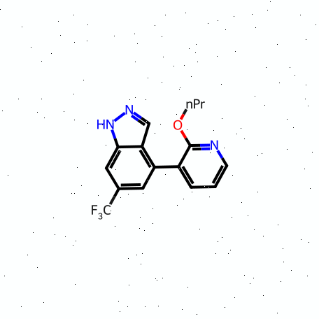 CCCOc1ncccc1-c1cc(C(F)(F)F)cc2[nH]ncc12